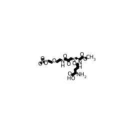 COC(=O)[C@H](CSCC(=O)C(=O)NCCOCCO[N+](=O)[O-])NC(=O)CC[C@H](N)C(=O)O